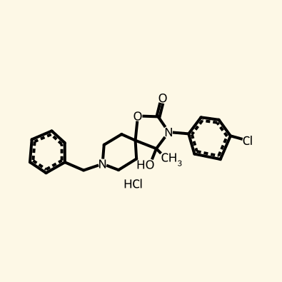 CC1(O)N(c2ccc(Cl)cc2)C(=O)OC12CCN(Cc1ccccc1)CC2.Cl